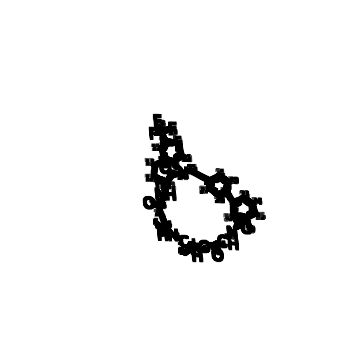 C[C@@H]1CNC(C)(C)CC(=O)N[C@@H]2CCc3cc(C(F)(F)F)ccc3N(Cc3ccc(cc3)-c3ccccc3C(=O)NCC(=O)O1)C2=O